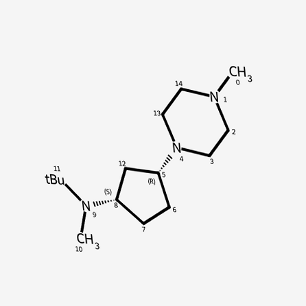 CN1CCN([C@@H]2CC[C@H](N(C)C(C)(C)C)C2)CC1